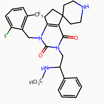 O=C(O)NC(Cn1c(=O)c2c(n(Cc3c(F)cccc3C(F)(F)F)c1=O)CCC21CCNCC1)c1ccccc1